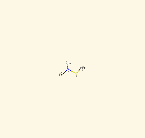 CCCSN(CC)CCC